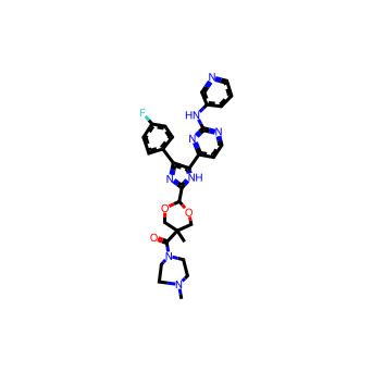 CN1CCN(C(=O)C2(C)COC(c3nc(-c4ccc(F)cc4)c(-c4ccnc(Nc5cccnc5)n4)[nH]3)OC2)CC1